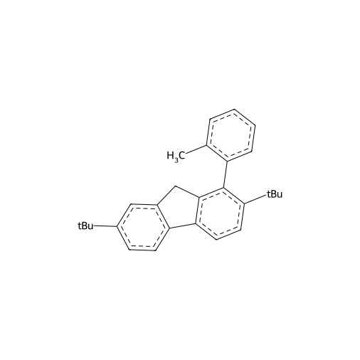 Cc1ccccc1-c1c(C(C)(C)C)ccc2c1Cc1cc(C(C)(C)C)ccc1-2